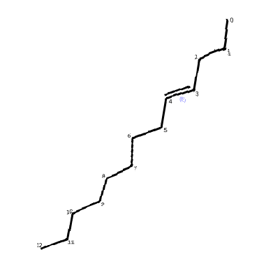 C[CH]C/C=C/CCCCCCCC